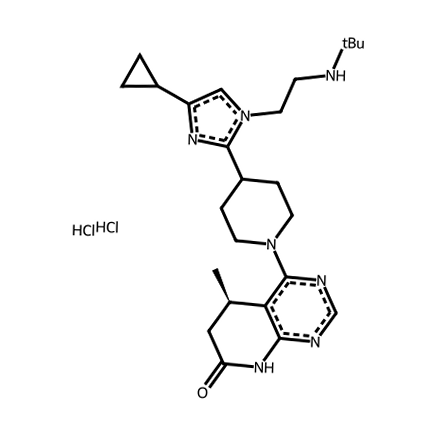 C[C@@H]1CC(=O)Nc2ncnc(N3CCC(c4nc(C5CC5)cn4CCNC(C)(C)C)CC3)c21.Cl.Cl